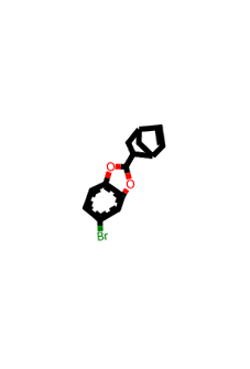 Brc1ccc2c(c1)OC(C1CC3C=CC1C3)O2